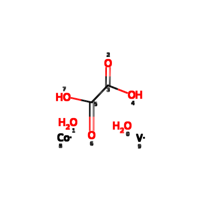 O.O.O=C(O)C(=O)O.[Co].[V]